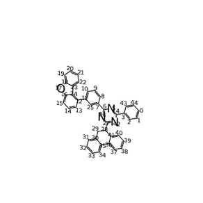 c1ccc(-c2nc(-c3cccc(-c4cccc5oc6ccccc6c45)c3)nc(C3Cc4ccccc4-c4ccccc43)n2)cc1